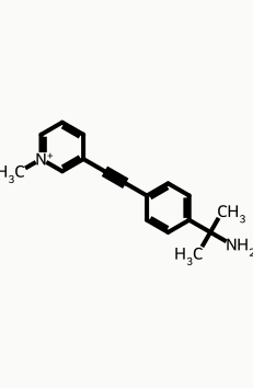 C[n+]1cccc(C#Cc2ccc(C(C)(C)N)cc2)c1